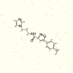 COc1ccc(-c2cc(C(=O)NCCCn3ccnc3)no2)cc1